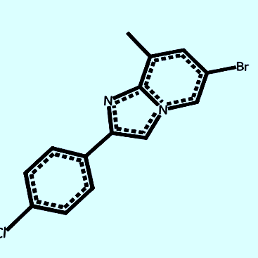 Cc1cc(Br)cn2cc(-c3ccc(Cl)cc3)nc12